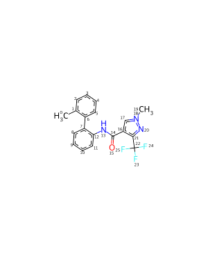 Cc1ccccc1-c1ccccc1NC(=O)c1cn(C)nc1C(F)(F)F